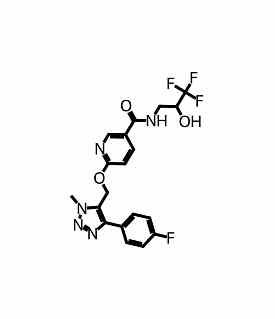 Cn1nnc(-c2ccc(F)cc2)c1COc1ccc(C(=O)NCC(O)C(F)(F)F)cn1